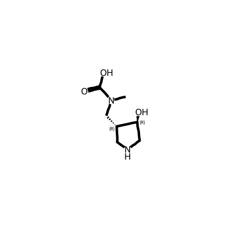 CN(C[C@H]1CNC[C@@H]1O)C(=O)O